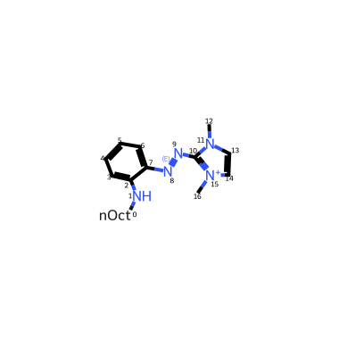 CCCCCCCCNc1ccccc1/N=N/c1n(C)cc[n+]1C